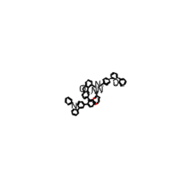 c1ccc(-c2nc(-c3ccc(-c4cccc5c4oc4ccccc45)cc3)nc(-c3cccc4oc5ccc(-c6ccccc6-c6ccc7c(c6)c6ccccc6n7-c6ccccc6)cc5c34)n2)cc1